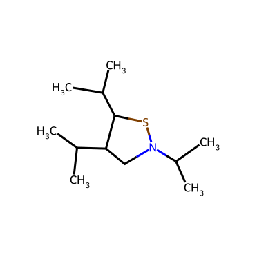 CC(C)C1CN(C(C)C)SC1C(C)C